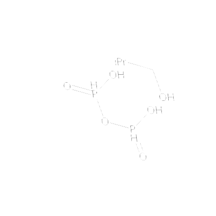 CC(C)CO.O=[PH](O)O[PH](=O)O